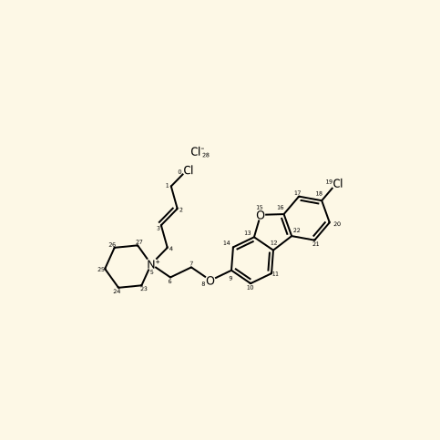 ClCC=CC[N+]1(CCOc2ccc3c(c2)oc2cc(Cl)ccc23)CCCCC1.[Cl-]